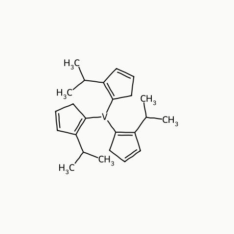 CC(C)C1=[C]([V]([C]2=C(C(C)C)C=CC2)[C]2=C(C(C)C)C=CC2)CC=C1